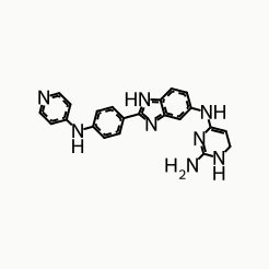 NC1=NC(Nc2ccc3[nH]c(-c4ccc(Nc5ccncc5)cc4)nc3c2)=CCN1